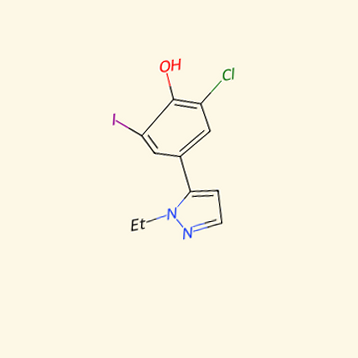 CCn1nccc1-c1cc(Cl)c(O)c(I)c1